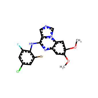 COc1cc2nc(Nc3c(F)cc(Cl)cc3Br)c3cncn3c2cc1OC